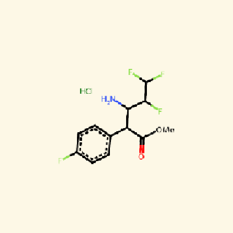 COC(=O)C(c1ccc(F)cc1)C(N)C(F)C(F)F.Cl